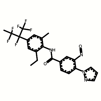 CCc1cc(C(F)(C(C)(F)F)C(F)(F)F)cc(C)c1NC(=O)c1ccc(-n2cccn2)c(N=O)c1